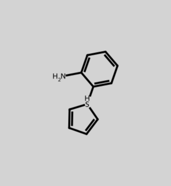 Nc1ccccc1[SH]1C=CC=C1